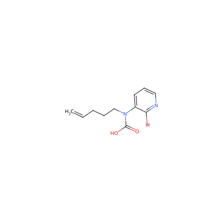 C=CCCCN(C(=O)O)c1cccnc1Br